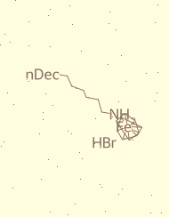 Br.CCCCCCCCCCCCCCCCN.[CH]12[CH]3[CH]4[CH]5[CH]1[Fe]23451678[CH]2[CH]1[CH]6[CH]7[CH]28